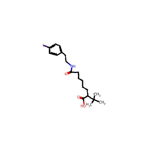 CC(C)(C)C(CCCCCC(=O)NCCc1ccc(I)cc1)C(=O)O